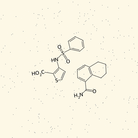 NC(=O)c1cccc2c1CCCC2.O=C(O)c1sccc1NS(=O)(=O)c1ccccc1